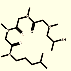 CC(C)CCCN(C)C(=O)CN(C)C(=O)CN(C)C(=O)CN(C)CC(C)S